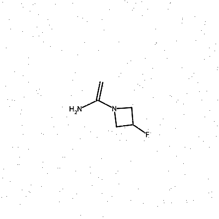 C=C(N)N1CC(F)C1